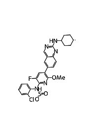 COc1nc(N(c2ccccc2Cl)[SH](=O)=O)c(F)cc1-c1ccc2nc(NC3CC[CH]CC3)ncc2c1